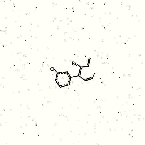 C=C/C(Br)=C(\C=C/C)c1cccc(Cl)c1